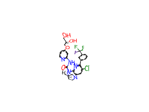 O=C(Nc1cc(OC[C@@H](O)CO)ccn1)N1c2nc(-c3cccc(C(F)(F)I)c3)c(Cl)cc2N2CC[C@H]1C2